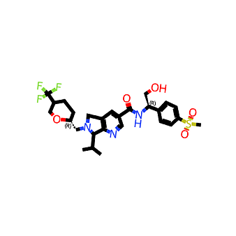 CC(C)C1c2ncc(C(=O)N[C@@H](CO)c3ccc(S(C)(=O)=O)cc3)cc2CN1C[C@H]1CCC(C(F)(F)F)CO1